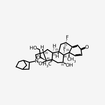 C[C@]12C=CC(=O)C=C1[C@@H](F)C[C@H]1[C@@H]3C[C@H]4CN(C5CC6CCC5C6)O[C@@]4(C(=O)CO)[C@@]3(C)C[C@H](O)[C@@]12F